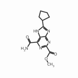 COC(=O)c1nc(C(N)=O)c2[nH]c(C3CCCC3)nc2n1